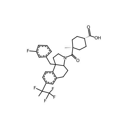 CC(F)(c1ccc2c(c1)CCC1N(C(=O)[C@]3(C)CC[C@@H](C(=O)O)CC3)CCC21Cc1cccc(F)c1)C(F)(F)F